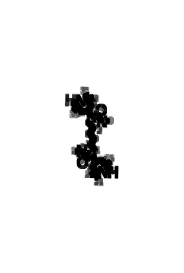 CN(C)C(=O)N(CCCCCCN(C(=O)N(C)C)C1CC(C)(C)NC(C)(C)C1)C1CC(C)(C)NC(C)(C)C1